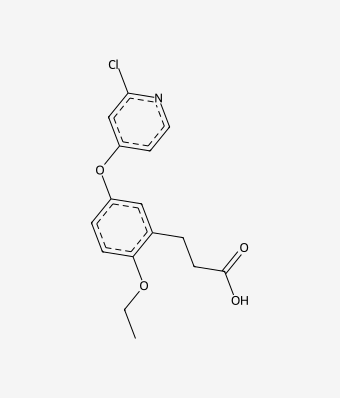 CCOc1ccc(Oc2ccnc(Cl)c2)cc1CCC(=O)O